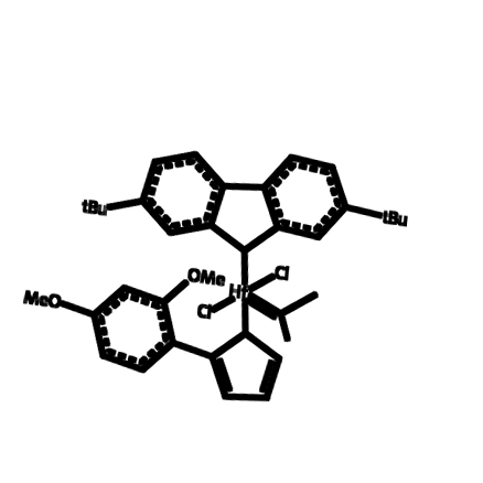 COc1ccc(C2=CC=C[CH]2[Hf]([Cl])([Cl])(=[C](C)C)[CH]2c3cc(C(C)(C)C)ccc3-c3ccc(C(C)(C)C)cc32)c(OC)c1